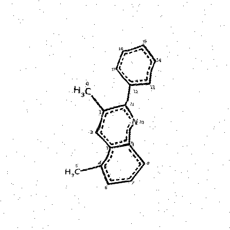 Cc1cc2c(C)cccc2nc1-c1ccccc1